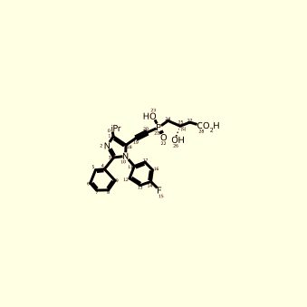 CC(C)c1nc(-c2ccccc2)n(-c2ccc(F)cc2)c1C#CP(=O)(O)C[C@@H](O)CC(=O)O